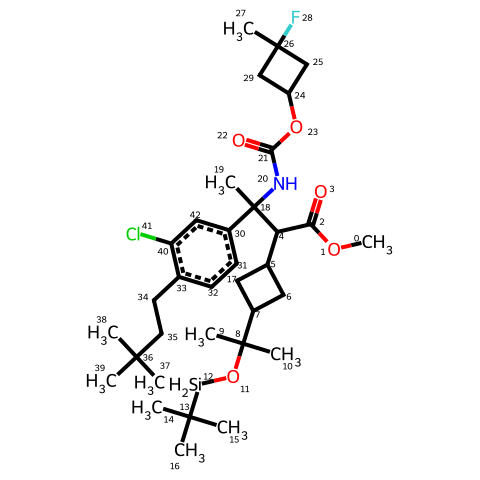 COC(=O)C(C1CC(C(C)(C)O[SiH2]C(C)(C)C)C1)C(C)(NC(=O)OC1CC(C)(F)C1)c1ccc(CCC(C)(C)C)c(Cl)c1